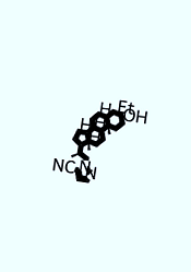 CC[C@@]1(O)CC[C@@]2(C)[C@H](CC[C@@H]3[C@@H]2CC[C@]2(C)C([C@H](C)Cn4nccc4C#N)CC[C@@H]32)C1